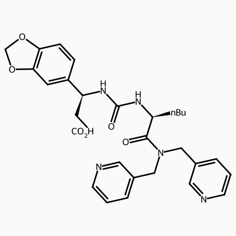 CCCC[C@H](NC(=O)N[C@@H](CC(=O)O)c1ccc2c(c1)OCO2)C(=O)N(Cc1cccnc1)Cc1cccnc1